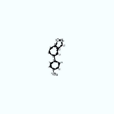 CC(C)(C)c1ccc(-c2ccc3oncc3c2)cc1